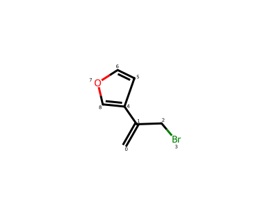 C=C(CBr)c1ccoc1